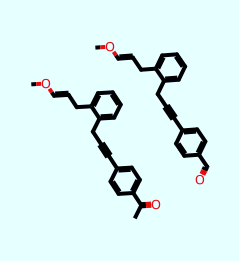 COC=CCc1ccccc1CC#Cc1ccc(C(C)=O)cc1.COC=CCc1ccccc1CC#Cc1ccc(C=O)cc1